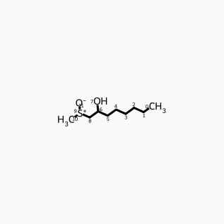 CCCCCCC(O)C[S+](C)[O-]